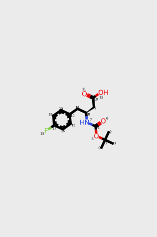 CC(C)(C)OC(=O)N[C@H](CC(=O)O)Cc1ccc(F)cc1